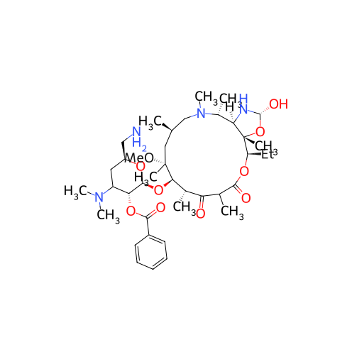 CC[C@H]1OC(=O)C(C)C(=O)[C@H](C)[C@@H](O[C@@H]2O[C@H](CN)CC(N(C)C)[C@H]2OC(=O)c2ccccc2)[C@](C)(OC)C[C@@H](C)CN(C)[C@H](C)[C@H]2N[C@H](O)O[C@@]21C